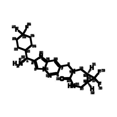 N[C@H](c1cn2ncc(CN3C[C@@H]4[C@H](CNC3=O)C4(F)F)cc2n1)C1CCC(F)(F)CC1